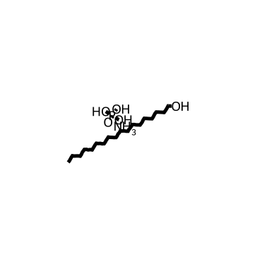 CCCCCCCCCCCCCCCCCCO.N.O=P(O)(O)O